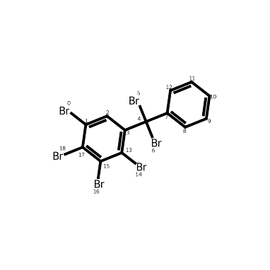 Brc1cc(C(Br)(Br)c2ccccc2)c(Br)c(Br)c1Br